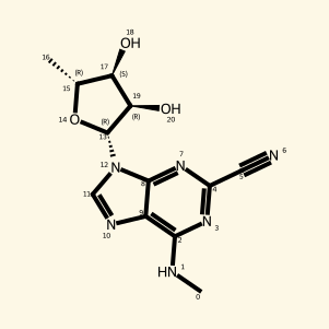 CNc1nc(C#N)nc2c1ncn2[C@@H]1O[C@H](C)[C@@H](O)[C@H]1O